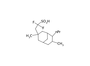 CCCC1C(C)CC2CC1CC(C)(CC(F)(F)S(=O)(=O)O)C2